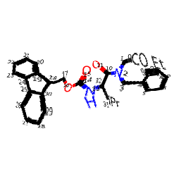 CCOC(=O)CN(Cc1ccccc1)C(=O)C(NC(=O)OCC1c2ccccc2-c2ccccc21)C(C)C